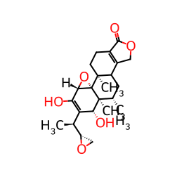 C[C@@H](C1=C(O)[C@@H]2O[C@]23[C@](C)([C@@H]1O)[C@@H](C)CC1C2=C(CC[C@@]13C)C(=O)OC2)[C@@H]1CO1